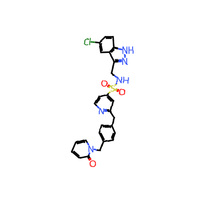 O=c1ccccn1Cc1ccc(Cc2cc(S(=O)(=O)NCc3n[nH]c4ccc(Cl)cc34)ccn2)cc1